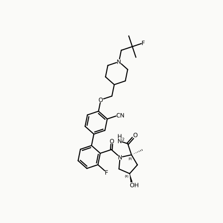 CC(C)(F)CN1CCC(COc2ccc(-c3cccc(F)c3C(=O)N3C[C@H](O)C[C@]3(C)C(N)=O)cc2C#N)CC1